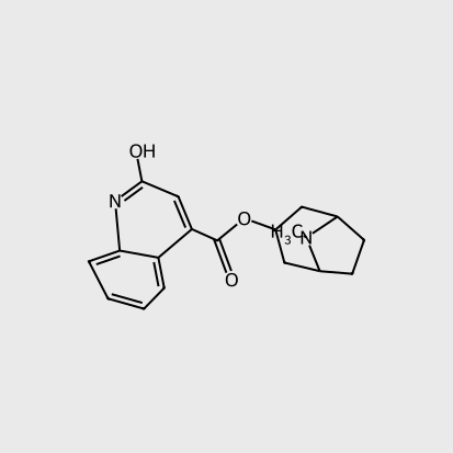 CN1C2CCC1CC(OC(=O)c1cc(O)nc3ccccc13)C2